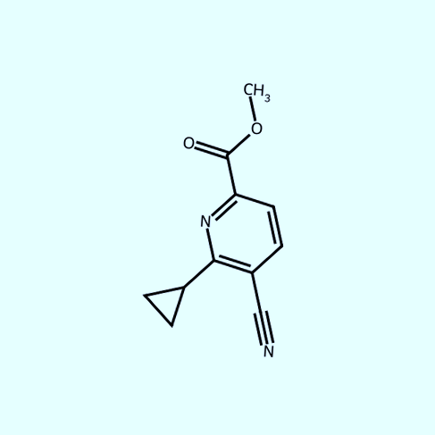 COC(=O)c1ccc(C#N)c(C2CC2)n1